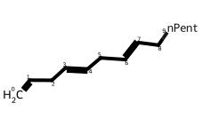 C=CCC=CCC=CCCCCCC